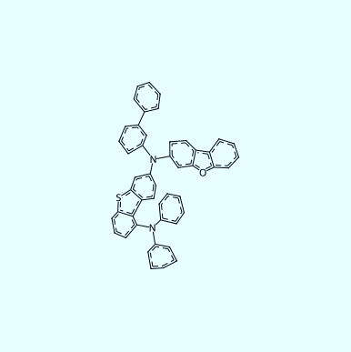 c1ccc(-c2cccc(N(c3ccc4c(c3)oc3ccccc34)c3ccc4c(c3)sc3cccc(N(c5ccccc5)c5ccccc5)c34)c2)cc1